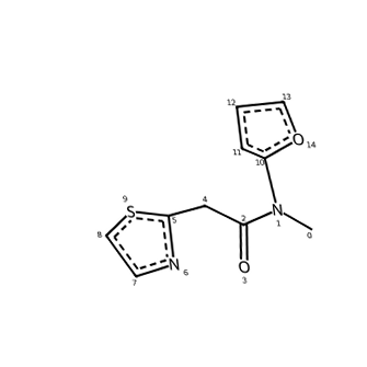 CN(C(=O)Cc1nccs1)c1ccco1